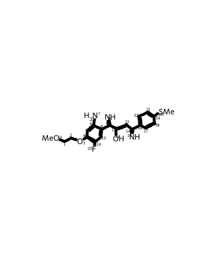 COCCOc1cc(N)c(C(=N)/C(O)=C/C(=N)c2ccc(SC)cc2)cc1F